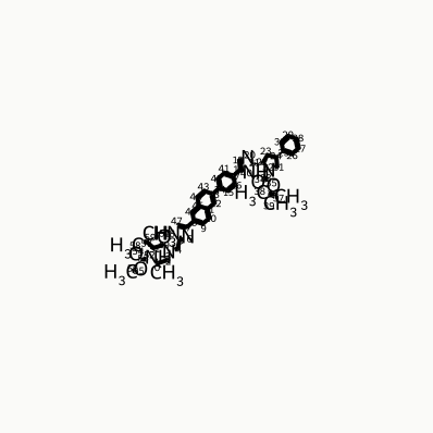 CCCN(Cc1nc(-c2ccc3cc(-c4ccc(-c5cnc([C@@H]6C[C@H](c7ccccc7)CN6C(=O)OC(C)(C)C)[nH]5)cc4)ccc3c2)c[nH]1)C(=O)[C@@H](NC(=O)OC)C(C)C